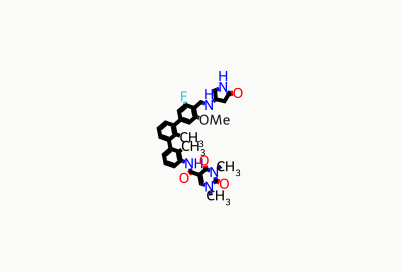 COc1cc(-c2cccc(-c3cccc(NC(=O)c4cn(C)c(=O)n(C)c4=O)c3C)c2C)cc(F)c1CNC1CNC(=O)C1